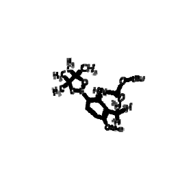 [2H]C([2H])([2H])c1c(OC)ccc(B2OC(C)(C)C(C)(C)O2)c1NC(=O)OC(C)(C)C